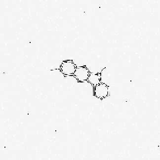 Cc1ccc2cc3c(cc2c1)c1ccccc1n3C